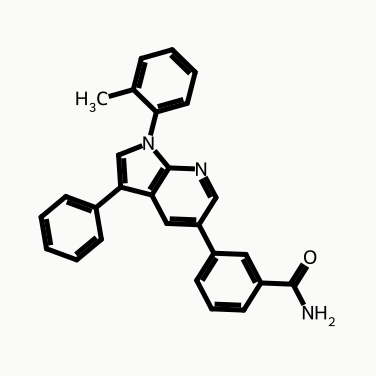 Cc1ccccc1-n1cc(-c2ccccc2)c2cc(-c3cccc(C(N)=O)c3)cnc21